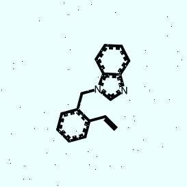 C=Cc1ccccc1Cn1cnc2ccccc21